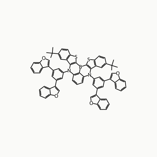 CC(C)(C)c1ccc2sc3c(c2c1)N(c1cc(-c2coc4ccccc24)cc(-c2coc4ccccc24)c1)c1cccc2c1B3c1sc3ccc(C(C)(C)C)cc3c1N2c1cc(-c2coc3ccccc23)cc(-c2coc3ccccc23)c1